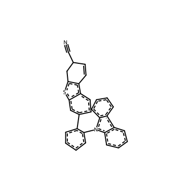 N#CC1C=Cc2c(sc3cc(-c4ccccc4-n4c5ccccc5c5ccccc54)ccc23)C1